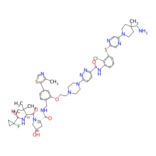 Cc1ncsc1-c1ccc(CNC(=O)[C@@H]2C[C@@H](O)CN2C(=O)[C@@H](NC(=O)C2(F)CC2)C(C)(C)C)c(OCCN2CCN(c3ccc(C(=O)Nc4cccc(Sc5cnc(N6CCC(C)(CN)CC6)cn5)c4Cl)nn3)CC2)c1